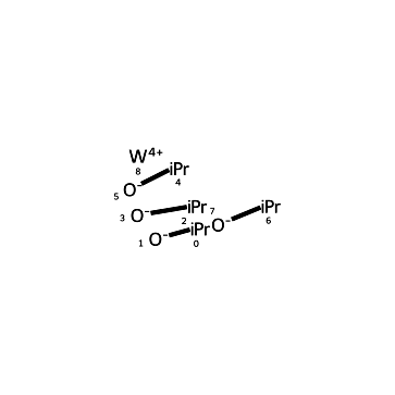 CC(C)[O-].CC(C)[O-].CC(C)[O-].CC(C)[O-].[W+4]